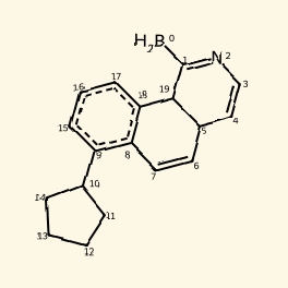 BC1=NC=CC2C=Cc3c(C4CCCC4)cccc3C12